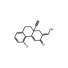 C#CC12CCc3cccc(Cl)c3C1=CC(=O)/C(=C/O)C2